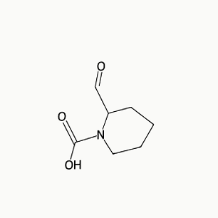 O=CC1CCCCN1C(=O)O